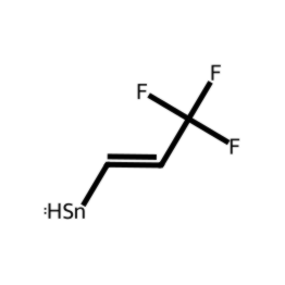 FC(F)(F)C=[CH][SnH]